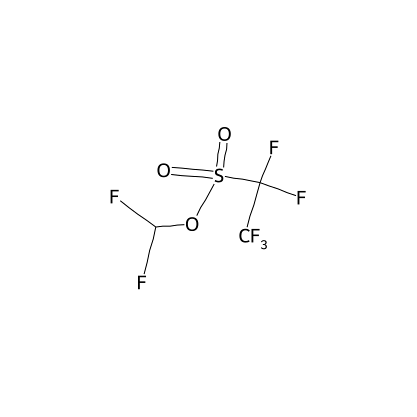 O=S(=O)(OC(F)F)C(F)(F)C(F)(F)F